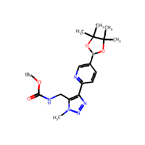 Cn1nnc(-c2ccc(B3OC(C)(C)C(C)(C)O3)cn2)c1CNC(=O)OC(C)(C)C